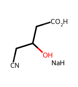 N#CCC(O)CC(=O)O.[NaH]